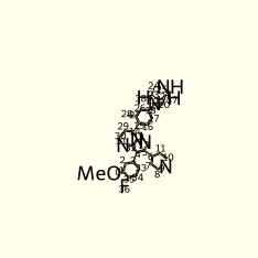 COc1cc(-c2c(-c3ccncc3)nn3c(-c4ccc(N5C[C@@H]6C[C@H]5CN6)cc4C)ccnc23)ccc1F